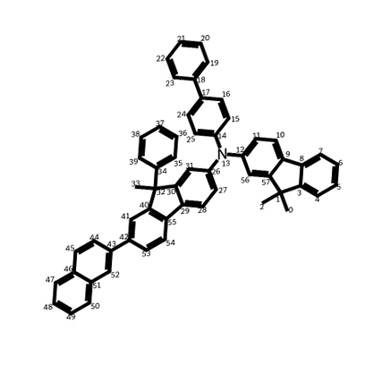 CC1(C)c2ccccc2-c2ccc(N(c3ccc(-c4ccccc4)cc3)c3ccc4c(c3)C(C)(c3ccccc3)c3cc(-c5ccc6ccccc6c5)ccc3-4)cc21